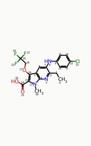 CCc1nc2c(cc1Nc1ccc(Cl)cc1)c(OCC(F)(F)F)c(C(=O)O)n2C